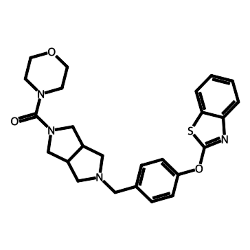 O=C(N1CCOCC1)N1CC2CN(Cc3ccc(Oc4nc5ccccc5s4)cc3)CC2C1